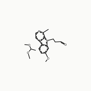 COC(C)OC.COc1ccc2c3ccnc(C)c3n(CCC=O)c2c1